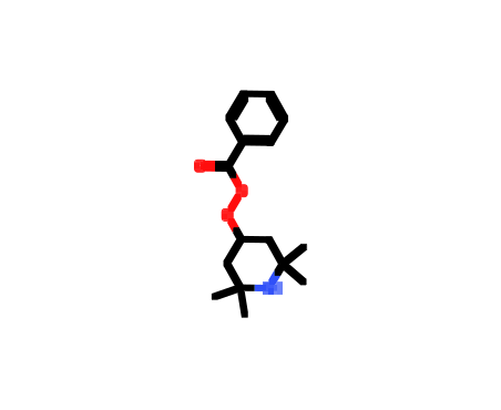 CC1(C)CC(OOC(=O)c2ccccc2)CC(C)(C)N1